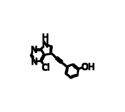 Oc1cccc(C#Cc2c[nH]c3ncnc(Cl)c23)c1